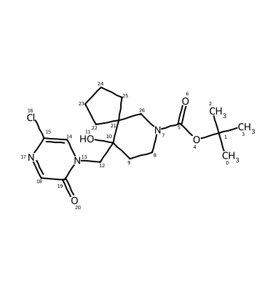 CC(C)(C)OC(=O)N1CCC(O)(Cn2cc(Cl)ncc2=O)C2(CCCC2)C1